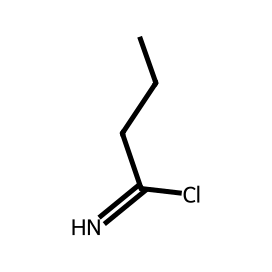 CCCC(=N)Cl